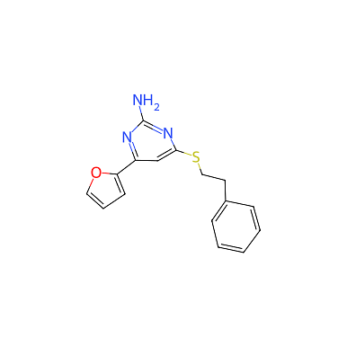 Nc1nc(SCCc2ccccc2)cc(-c2ccco2)n1